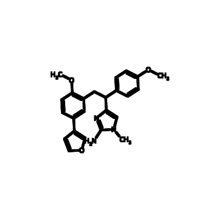 COc1ccc(C(Cc2cc(-c3ccoc3)ccc2OC)c2cn(C)c(N)n2)cc1